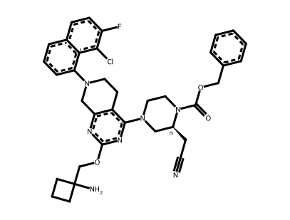 N#CC[C@H]1CN(c2nc(OCC3(N)CCC3)nc3c2CCN(c2cccc4ccc(F)c(Cl)c24)C3)CCN1C(=O)OCc1ccccc1